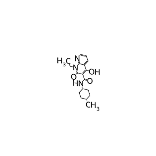 CCn1c(=O)c(C(=O)N[C@H]2CC[C@@H](C)CC2)c(O)c2cccnc21